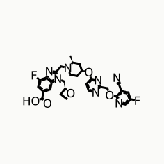 C[C@H]1C[C@@H](Oc2ccnc(COc3ncc(F)cc3C#N)n2)CCN1Cc1nc2c(F)cc(C(=O)O)cc2n1C[C@@H]1CCO1